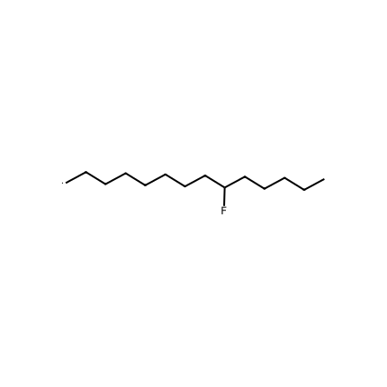 [CH2]CCCCCCCC(F)CCCCC